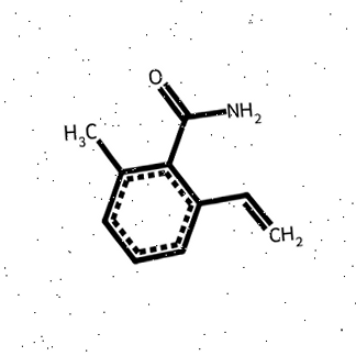 C=Cc1cccc(C)c1C(N)=O